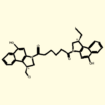 O=C(CCCCC(=O)N1C[C@@H](CI)c2c1cc(O)c1ccccc21)N1C[C@@H](CCl)c2c1cc(O)c1ccccc21